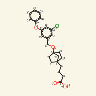 O=C(O)CCCC12CCC(OCc3cc(Cl)cc(Oc4ccccc4)c3)(CC1)C2